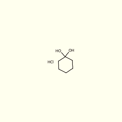 Cl.OC1(O)CCCCC1